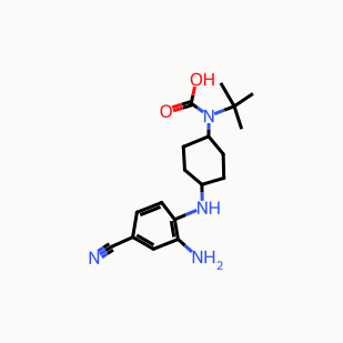 CC(C)(C)N(C(=O)O)C1CCC(Nc2ccc(C#N)cc2N)CC1